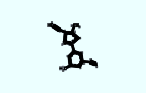 C#Cc1nn(-c2cc(C)cc(C#N)c2)cc1C